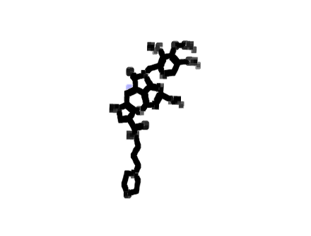 COc1c(C)cnc(CN2C(=O)/C(=C/c3cc(C(=O)NCCCN4CCOCC4)c[nH]3)c3c(Cl)nc(N)nc32)c1C